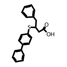 O=C(O)CC(Cc1ccccc1)Sc1ccc(-c2ccccc2)cc1